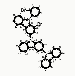 Brc1ccccc1-n1c2ccccc2c2cc(-n3c4ccccc4c4cc(-n5c6ccccc6c6ccccc65)ccc43)cc(Br)c21